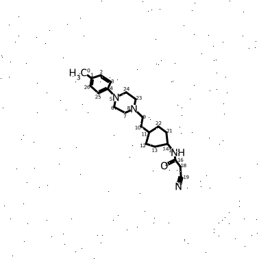 Cc1ccc(N2CCN(CCC3CCC(NC(=O)CC#N)CC3)CC2)cc1